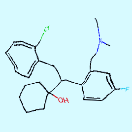 CN(C)Cc1cc(F)ccc1C(Cc1ccccc1Cl)C1(O)CCCCC1